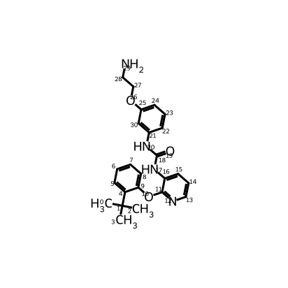 CC(C)(C)c1ccccc1Oc1ncccc1NC(=O)Nc1cccc(OCCN)c1